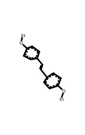 CCOc1ccc(/C=C/c2ccc(OCC)cc2)cc1